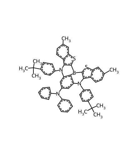 Cc1ccc2c3c(sc2c1)B1c2sc4cc(C)ccc4c2N(c2ccc(C(C)(C)C)cc2)c2cc(N(c4ccccc4)c4ccccc4)cc(c21)N3c1ccc(C(C)(C)C)cc1